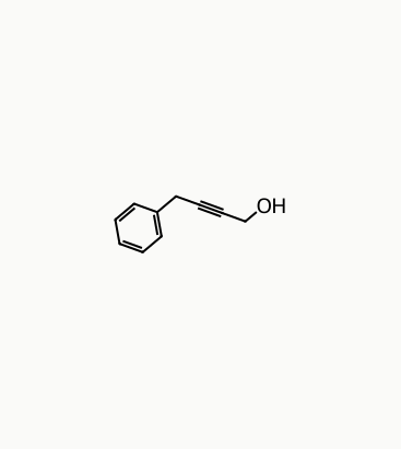 OCC#CCc1ccccc1